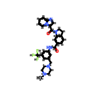 CN1CCN(Cc2cc(NC(=O)c3ccc4c(c3)N(C(=O)c3cnc5ccccn35)CC4)cc(C(F)(F)F)c2)CC1